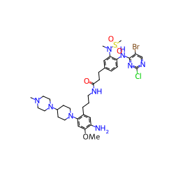 COc1cc(N2CCC(N3CCN(C)CC3)CC2)c(CCCNC(=O)CCc2ccc(Nc3nc(Cl)ncc3Br)c(N(C)S(C)(=O)=O)c2)cc1N